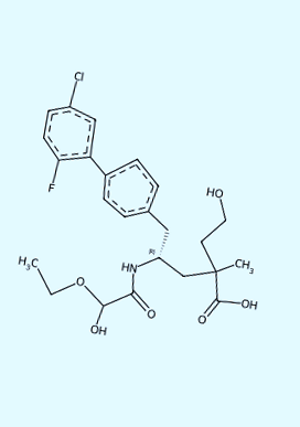 CCOC(O)C(=O)N[C@H](Cc1ccc(-c2cc(Cl)ccc2F)cc1)CC(C)(CCO)C(=O)O